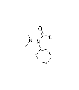 CN(C)N(C(=O)Cl)C1=CCCCC1